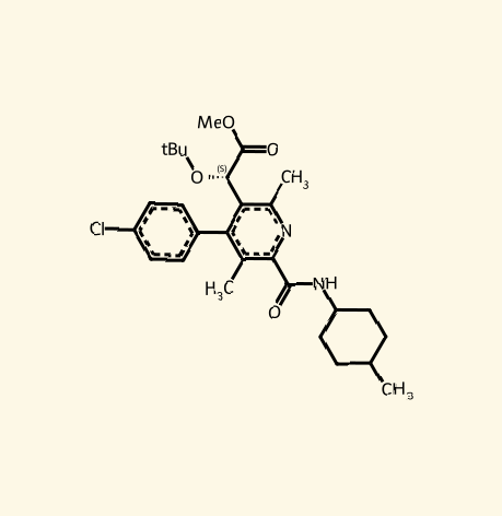 COC(=O)[C@@H](OC(C)(C)C)c1c(C)nc(C(=O)NC2CCC(C)CC2)c(C)c1-c1ccc(Cl)cc1